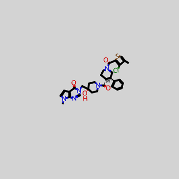 Cc1csc(C(=O)N2CC[C@@H](C(=O)N3CCC(O)(Cn4cnc5c(ccn5C)c4=O)CC3)[C@H](c3ccccc3)C2)c1Cl